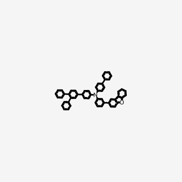 c1ccc(-c2ccc(N(c3ccc(-c4ccc(-c5ccccc5)c(-c5ccccc5)c4)cc3)c3cccc(-c4ccc5oc6ccccc6c5c4)c3)cc2)cc1